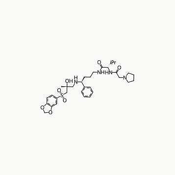 CC(C)[C@H](NC(=O)CN1CCCC1)C(=O)NCCC[C@H](NC[C@@](C)(O)CS(=O)(=O)c1ccc2c(c1)OCO2)c1ccccc1